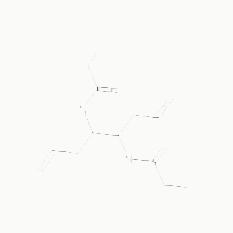 C=CCC(NC(=O)CCl)C(CC=C)NC(=O)CCl